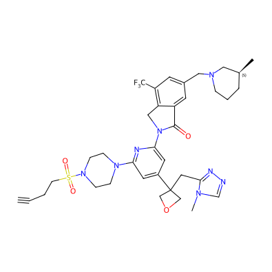 C#CCCS(=O)(=O)N1CCN(c2cc(C3(Cc4nncn4C)COC3)cc(N3Cc4c(cc(CN5CCC[C@H](C)C5)cc4C(F)(F)F)C3=O)n2)CC1